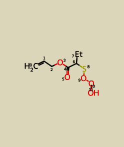 C=CCOC(=O)C(CC)SOOO